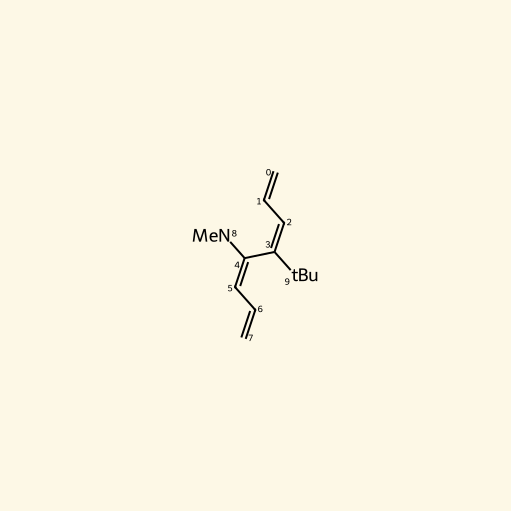 C=C/C=C(\C(=C/C=C)NC)C(C)(C)C